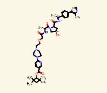 Cc1ncsc1-c1ccc([C@H](C)NC(=O)C2C[C@@H](O)CN2C(=O)[C@@H](NC(=O)COCCN2CCN(c3ccc(C(=O)OC4C(C)(C)CC4(C)C)cn3)CC2)C(C)(C)C)cc1